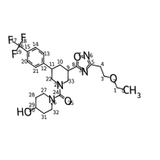 CCOCCc1noc(C2CC(c3ccc(C(F)(F)F)cc3)CN(C(=O)N3CCC(O)CC3)C2)n1